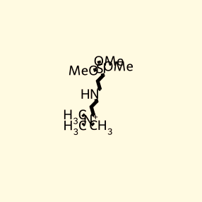 CO[Si](CCCNCCC[N+](C)(C)C)(OC)OC